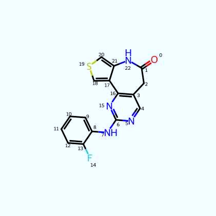 O=C1Cc2cnc(Nc3ccccc3F)nc2-c2cscc2N1